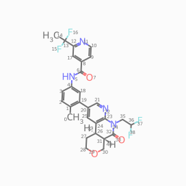 Cc1ccc(NC(=O)c2ccnc(C(C)(F)F)c2)cc1-c1cnc2c(c1)[C@@H]1CCOC[C@H]1C(=O)N2CC(F)F